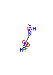 CC1=C(CCCCCCN2CCN(C(=O)NC(C)(C)CC(C)(C)C)CC2)C(=O)N(c2ccc(C#N)c(C(F)(F)F)c2)C1=O